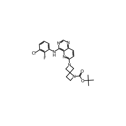 CC(C)(C)OC(=O)N1CCC12CN(c1ccc3ncnc(Nc4cccc(Cl)c4F)c3n1)C2